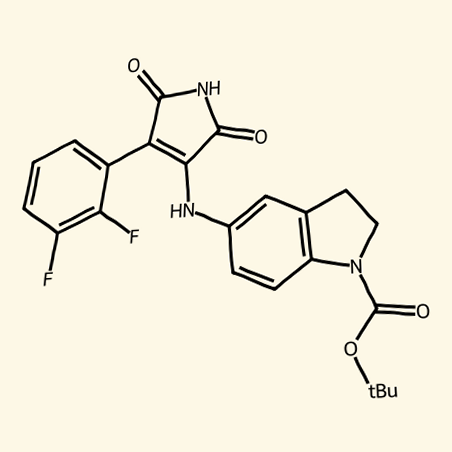 CC(C)(C)OC(=O)N1CCc2cc(NC3=C(c4cccc(F)c4F)C(=O)NC3=O)ccc21